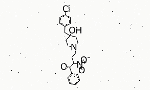 O=C(c1ccccc1)C(CCN1CCC(O)(Cc2ccc(Cl)cc2)CC1)[N+](=O)[O-]